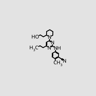 CCCc1cc(N2CCCCC2CCO)nc(Nc2ccc(C)c(C#N)c2)n1